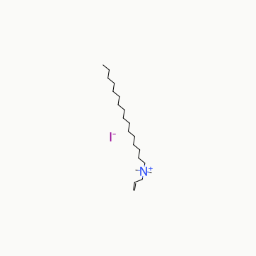 C=CC[N+](C)(C)CCCCCCCCCCCCCCCC.[I-]